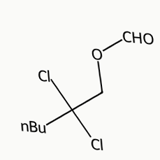 CCCCC(Cl)(Cl)COC=O